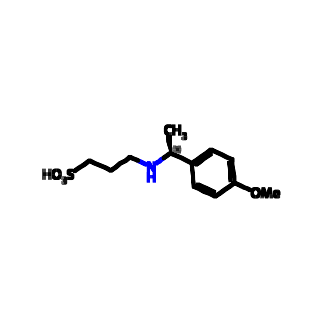 COc1ccc([C@H](C)NCCCS(=O)(=O)O)cc1